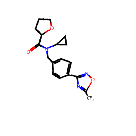 O=C(C1CCCO1)N(Cc1ccc(-c2noc(C(F)(F)F)n2)cc1)C1CC1